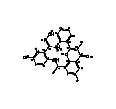 Cc1cc([C@@H](C)Nc2ccc(Cl)nc2/C(N)=N/O)c2oc(-c3ccccn3)c(C)c(=O)c2c1